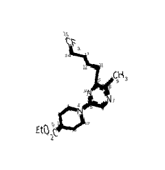 CCOC(=O)C1CCN(c2cnc(C)c(CCCCC(F)(F)F)n2)CC1